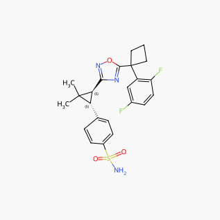 CC1(C)[C@@H](c2ccc(S(N)(=O)=O)cc2)[C@@H]1c1noc(C2(c3cc(F)ccc3F)CCC2)n1